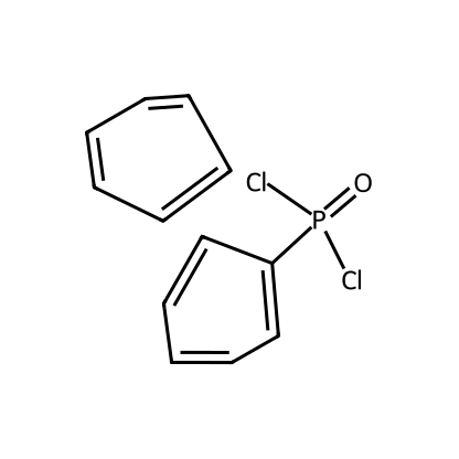 O=P(Cl)(Cl)c1ccccc1.c1ccccc1